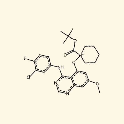 COc1cc(O[N+]2(C(=O)OC(C)(C)C)CCCCC2)c2c(Nc3ccc(F)c(Cl)c3)ncnc2c1